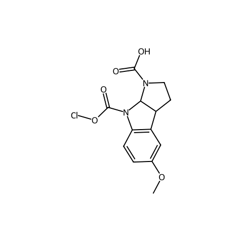 COc1ccc2c(c1)C1CCN(C(=O)O)C1N2C(=O)OCl